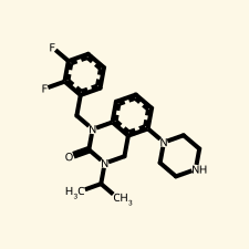 CC(C)N1Cc2c(N3CCNCC3)cccc2N(Cc2cccc(F)c2F)C1=O